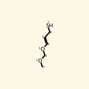 COCOC=CCS